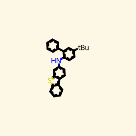 CC(C)(C)c1ccc(Nc2ccc3c(c2)sc2ccccc23)c(-c2ccccc2)c1